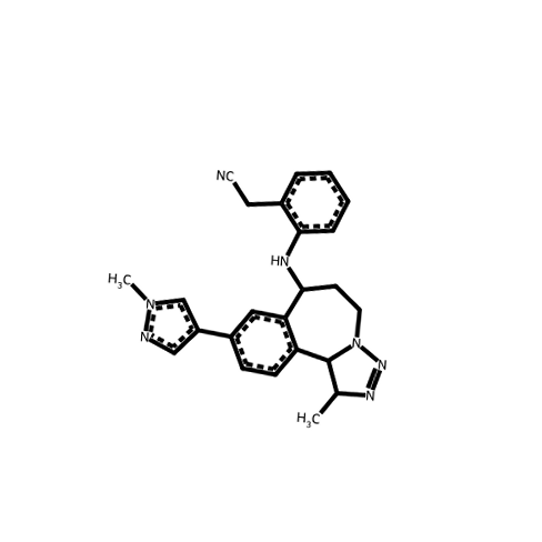 CC1N=NN2CCC(Nc3ccccc3CC#N)c3cc(-c4cnn(C)c4)ccc3C12